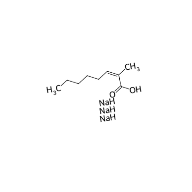 CCCCCC=C(C)C(=O)O.[NaH].[NaH].[NaH]